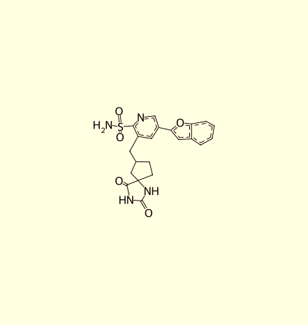 NS(=O)(=O)c1ncc(-c2cc3ccccc3o2)cc1CC1CCC2(C1)NC(=O)NC2=O